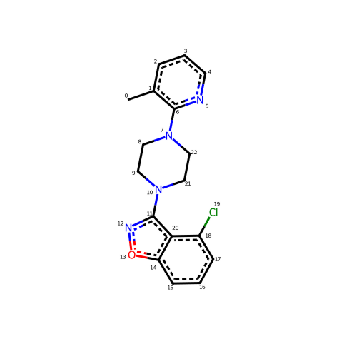 Cc1cccnc1N1CCN(c2noc3cccc(Cl)c23)CC1